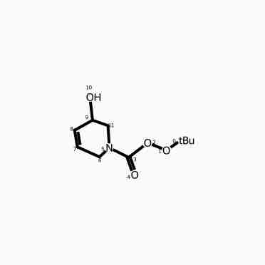 CC(C)(C)OOC(=O)N1CC=CC(O)C1